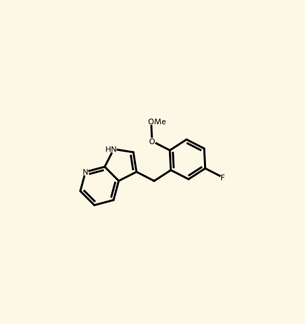 COOc1ccc(F)cc1Cc1c[nH]c2ncccc12